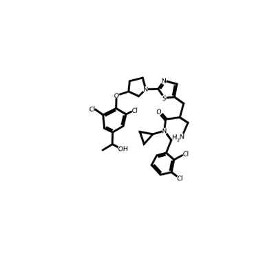 CC(O)c1cc(Cl)c(OC2CCN(c3ncc(CC(CN)C(=O)N(Cc4cccc(Cl)c4Cl)C4CC4)s3)C2)c(Cl)c1